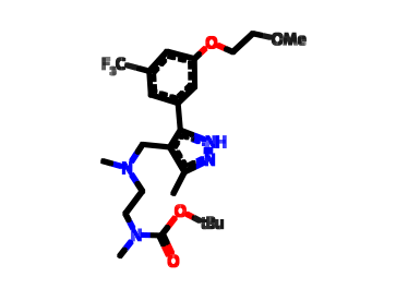 COCCOc1cc(-c2[nH]nc(C)c2CN(C)CCN(C)C(=O)OC(C)(C)C)cc(C(F)(F)F)c1